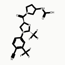 N#Cc1ccc(N2C[C@@H](C(=O)N3CCC(NC(=O)O)C3)O[C@@H]2C(F)(F)F)cc1C(F)(F)F